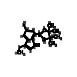 CCc1c[nH]c2c(B3OC(C)(C)C(C)(C)O3)cc(F)cc12